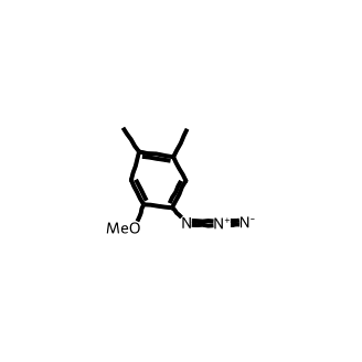 COc1cc(C)c(C)cc1N=[N+]=[N-]